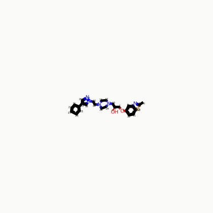 Cc1nc2cc(OC[C@@H](O)CN3CCN(CCn4cc(-c5ccccc5)cn4)CC3)ccc2s1